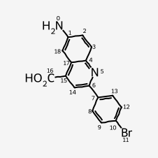 Nc1ccc2nc(-c3ccc(Br)cc3)cc(C(=O)O)c2c1